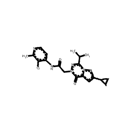 Cc1nccc(NC(=O)Cn2nc(C(C)C)n3nc(C4CC4)cc3c2=O)c1Cl